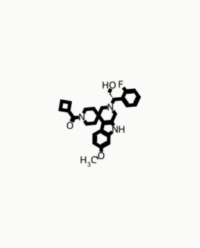 COc1ccc2c3c([nH]c2c1)CN([C@H](CO)c1ccccc1F)CC31CCN(C(=O)C2CCC2)CC1